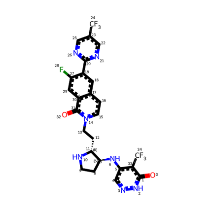 O=c1[nH]ncc(N[C@H]2CCN[C@@H]2CCn2ccc3cc(-c4ncc(C(F)(F)F)cn4)c(F)cc3c2=O)c1C(F)(F)F